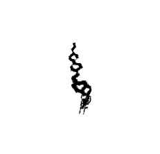 CCC[C@H]1CC[C@H]([C@H]2CC[C@H](CCc3ccc4cc(OC(F)(F)F)ccc4c3)CC2)CC1